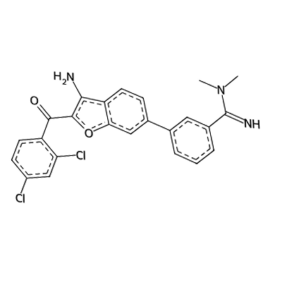 CN(C)C(=N)c1cccc(-c2ccc3c(N)c(C(=O)c4ccc(Cl)cc4Cl)oc3c2)c1